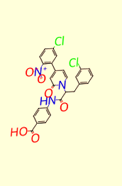 O=C(O)c1ccc(NC(=O)C(Cc2cccc(Cl)c2)n2ccc(-c3cc(Cl)ccc3[N+](=O)[O-])cc2=O)cc1